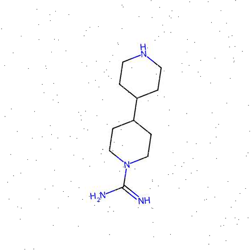 N=C(N)N1CCC(C2CCNCC2)CC1